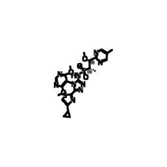 COc1ncnc(OC)c1-n1c(NS(=O)(=O)[C@@H](C)[C@H](OC)c2ncc(C)cn2)nnc1-c1nc(C2CC2)cs1